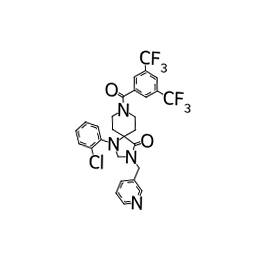 O=C(c1cc(C(F)(F)F)cc(C(F)(F)F)c1)N1CCC2(CC1)C(=O)N(Cc1cccnc1)CN2c1ccccc1Cl